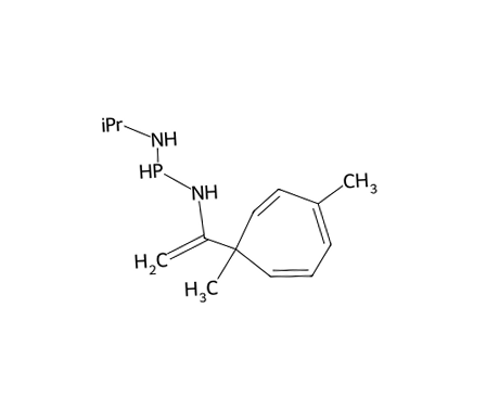 C=C(NPNC(C)C)C1(C)C=CC=C(C)C=C1